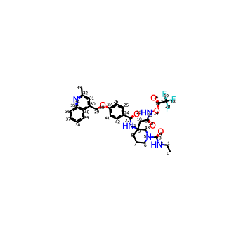 CCNC(=O)N1CCCC(CC(=O)NOC(=O)C(F)(F)F)(NC(=O)c2ccc(OCc3cc(C)nc4ccccc34)cc2)C1